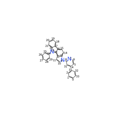 c1ccc(-c2ccnc(-n3ccc4c3ccc3c5ccccc5n(-c5ccccc5)c34)c2)cc1